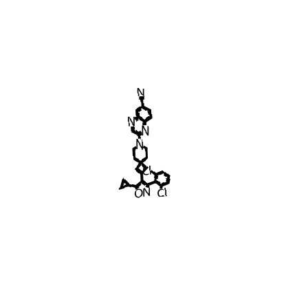 N#Cc1ccc2nc(N3CCC4(C=C(c5c(-c6c(Cl)cccc6Cl)noc5C5CC5)C4)CC3)cnc2c1